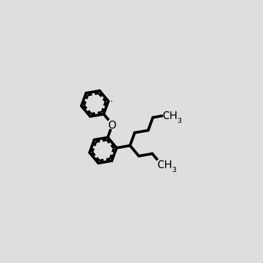 CCCCC(CCC)c1ccccc1Oc1[c]cccc1